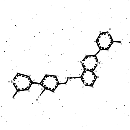 Cc1cc(-c2cnc3c(NCc4ccc(-c5ccnc(C)c5)c(F)c4)nccc3n2)ccn1